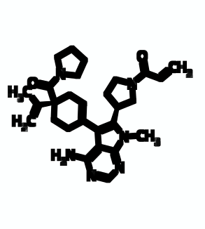 C=CC(=O)N1CC[C@H](c2c(C3=CC[C@@](C(=C)C)(C(=O)N4CCCC4)CC3)c3c(N)ncnc3n2C)C1